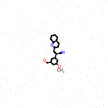 COc1cc(C=O)cc(/C(C#N)=C/c2ccc3ccccc3n2)c1